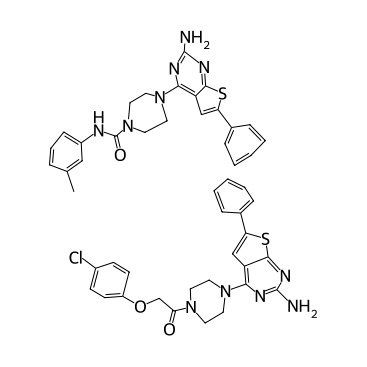 Cc1cccc(NC(=O)N2CCN(c3nc(N)nc4sc(-c5ccccc5)cc34)CC2)c1.Nc1nc(N2CCN(C(=O)COc3ccc(Cl)cc3)CC2)c2cc(-c3ccccc3)sc2n1